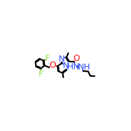 CCCCNNC(=O)c1c(C)nc2c(OCc3c(F)cccc3F)cc(C)cn12